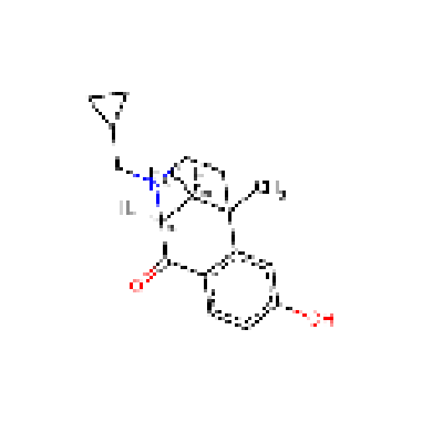 C[C@H]1[C@H]2C(=O)c3ccc(O)cc3C1(C)CCN2CC1CC1